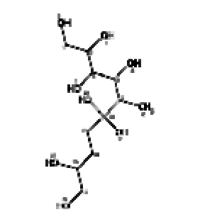 CC(C(O)C(O)C(O)CO)C(O)(O)CCC(O)CO